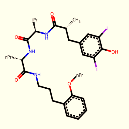 CCCOc1ccccc1CCCNC(=O)[C@H](CCC)NC(=O)[C@H](NC(=O)[C@H](C)Cc1cc(I)c(O)c(I)c1)C(C)C